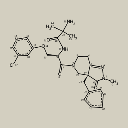 CN1N=C2CCN(C(=O)[C@@H](COc3cncc(Cl)c3)NC(=O)C(C)(C)N)C[C@@]2(Cc2ccccc2)C1=O